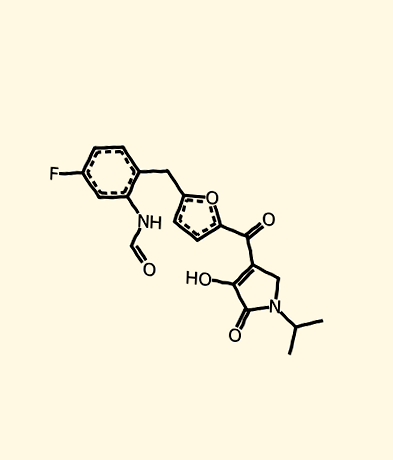 CC(C)N1CC(C(=O)c2ccc(Cc3ccc(F)cc3NC=O)o2)=C(O)C1=O